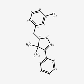 CC1(C)C(c2ccccc2)=NOC1Cc1cc(C(F)(F)F)ccn1